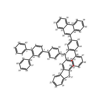 c1ccc(-c2ccc(-c3ccc(N(c4ccc5sc6ccccc6c5c4)c4cc(-c5cc6ccccc6c6ccccc56)ccc4-c4ccccc4)cc3)cc2-c2ccccc2)cc1